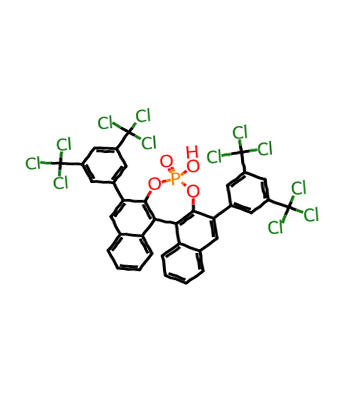 O=P1(O)Oc2c(-c3cc(C(Cl)(Cl)Cl)cc(C(Cl)(Cl)Cl)c3)cc3ccccc3c2-c2c(c(-c3cc(C(Cl)(Cl)Cl)cc(C(Cl)(Cl)Cl)c3)cc3ccccc23)O1